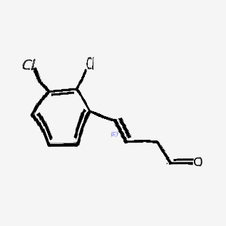 O=[C]C/C=C/c1cccc(Cl)c1Cl